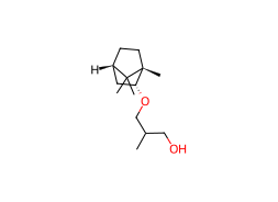 CC(CO)CO[C@@H]1C[C@@H]2CC[C@@]1(C)C2(C)C